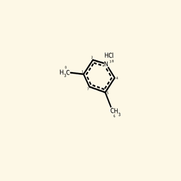 Cc1cncc(C)c1.Cl